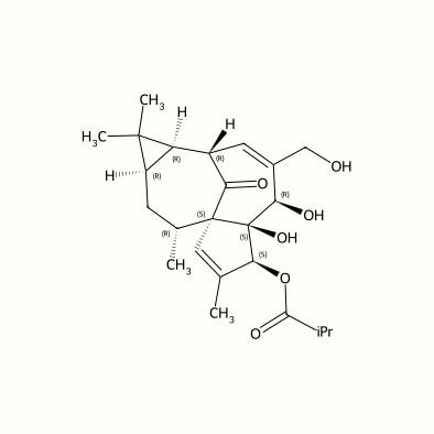 CC1=C[C@]23C(=O)[C@@H](C=C(CO)[C@@H](O)[C@]2(O)[C@H]1OC(=O)C(C)C)[C@H]1[C@@H](C[C@H]3C)C1(C)C